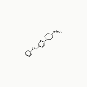 CCCCCCCC1CC=C(c2ccc(COc3ccccc3)cc2)CC1